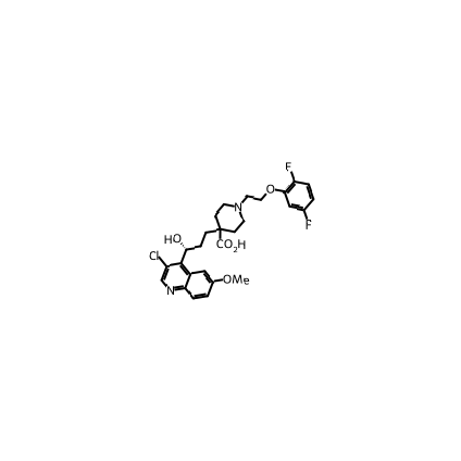 COc1ccc2ncc(Cl)c([C@H](O)CCC3(C(=O)O)CCN(CCOc4cc(F)ccc4F)CC3)c2c1